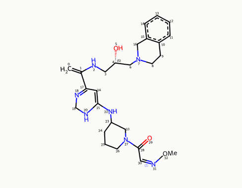 C=C(NC[C@H](O)CN1CCc2ccccc2C1)C1=NCNC(NC2CCCN(C(=O)/C=N\OC)C2)=C1